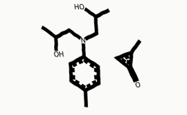 Cc1cc1=O.Cc1ccc(N(CC(C)O)CC(C)O)cc1